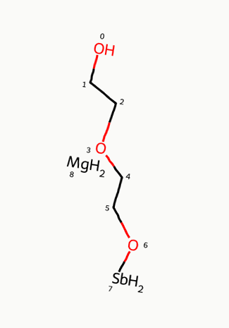 OCCOCC[O][SbH2].[MgH2]